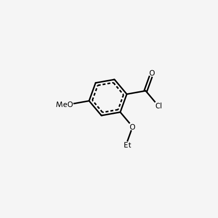 CCOc1cc(OC)ccc1C(=O)Cl